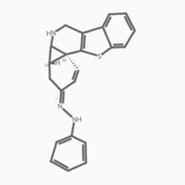 C1=C[C@@]23c4sc5ccccc5c4CNC2[C@H]3C/C1=N/Nc1ccccc1